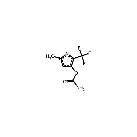 Cn1cc(OC(N)=O)c(C(F)(F)F)n1